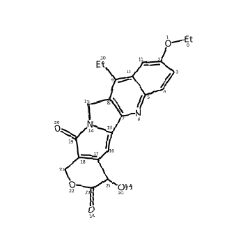 CCOc1ccc2nc3c(c(CC)c2c1)Cn1c-3cc2c(c1=O)COC(=O)C2O